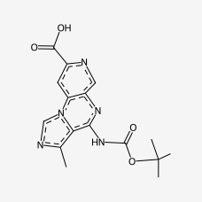 Cc1ncn2c1c(NC(=O)OC(C)(C)C)nc1cnc(C(=O)O)cc12